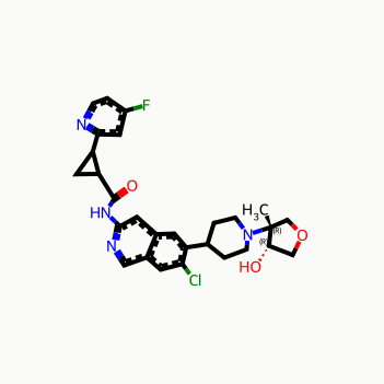 C[C@@]1(N2CCC(c3cc4cc(NC(=O)C5CC5c5cc(F)ccn5)ncc4cc3Cl)CC2)COC[C@@H]1O